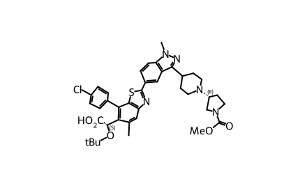 COC(=O)N1CC[C@@H](N2CCC(c3nn(C)c4ccc(-c5nc6cc(C)c([C@H](OC(C)(C)C)C(=O)O)c(-c7ccc(Cl)cc7)c6s5)cc34)CC2)C1